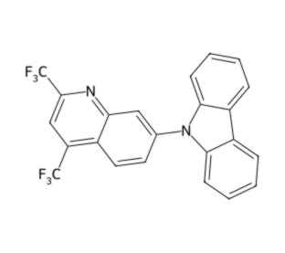 FC(F)(F)c1cc(C(F)(F)F)c2ccc(-n3c4ccccc4c4ccccc43)cc2n1